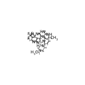 CCN1CCN(c2ccc([C@@H](C)Nc3ncc(N)c(-c4c[nH]c5ncc(C(F)(F)F)cc45)n3)cn2)CC1